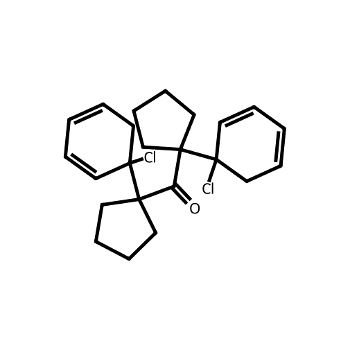 O=C(C1(C2(Cl)C=CC=CC2)CCCC1)C1(C2(Cl)C=CC=CC2)CCCC1